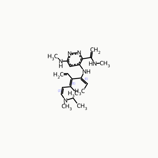 C=CC(/C(=C\C)Nc1cc(NC)nnc1C(=C)NC)=C(C)\C=C/N(C)CC